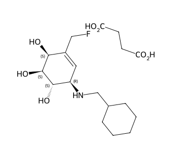 O=C(O)CCC(=O)O.O[C@@H]1[C@@H](O)[C@@H](O)C(CF)=C[C@H]1NCC1CCCCC1